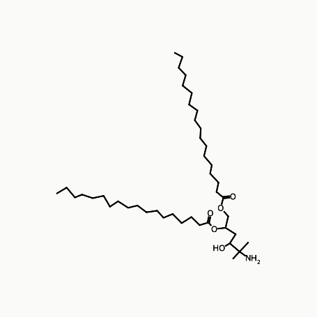 CCCCCCCCCCCCCCCCCC(=O)OCC(CC(O)C(C)(C)N)OC(=O)CCCCCCCCCCCCCCCCC